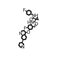 O=C(Nc1ccc(F)cc1)C1(C(=O)Nc2cc(F)c(Oc3ccnc4cc(-c5cccnc5)ccc34)cc2F)CC1